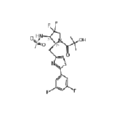 CC(C)(O)C(=O)N1CC(F)(F)[C@H](NS(C)(=O)=O)[C@@H]1Cc1csc(-c2cc(F)cc(F)c2)n1